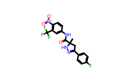 CC1(C(=O)Nc2ccc([N+](=O)[O-])c(C(F)(F)F)c2)CC(c2ccc(F)cc2)=NN1